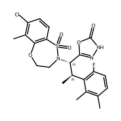 Cc1ccc(F)c([C@@H](C)[C@@H](c2n[nH]c(=O)o2)N2CCOc3c(ccc(Cl)c3C)S2(=O)=O)c1C